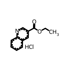 CCOC(=O)c1cnc2ccccc2c1.Cl